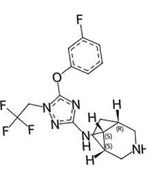 Fc1cccc(Oc2nc(N[C@@H]3[C@@H]4CC[C@H]3CNC4)nn2CC(F)(F)F)c1